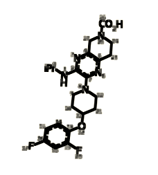 CC(C)Nc1nc2c(nc1N1CCC(Oc3ccc(F)cc3F)CC1)CCN(C(=O)O)C2